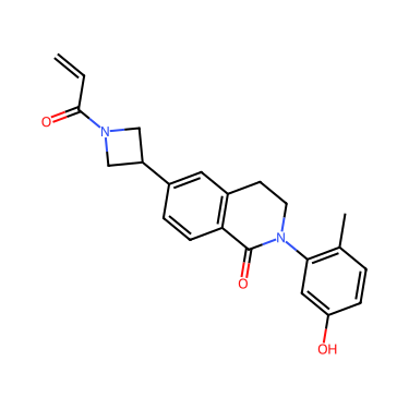 C=CC(=O)N1CC(c2ccc3c(c2)CCN(c2cc(O)ccc2C)C3=O)C1